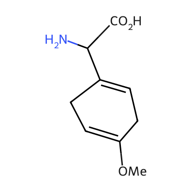 COC1=CCC(C(N)C(=O)O)=CC1